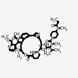 C=CC(=O)N(C)C1CCN(C(=O)N(C)[C@H](C(=O)N[C@H]2Cc3nc(cs3)-c3ccc4c(c3)c(c(-c3cccnc3[C@H](C)OC)n4CC)CC(C)(C)COC(=O)[C@@H]3CCCN(N3)C2=O)C(C)C)CC1